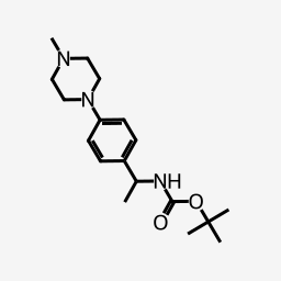 CC(NC(=O)OC(C)(C)C)c1ccc(N2CCN(C)CC2)cc1